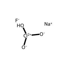 [F-].[Na+].[O-][Cl+2]([O-])O